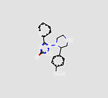 COc1ccc(C2CNCCN2n2[nH]c(=O)nc2-c2ccccc2)cc1